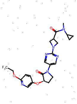 CN(C(=O)C1CN(c2ncc(N3CC[C@@H](Oc4ccc(OCC(F)(F)F)nc4)C3=O)cn2)C1)C1CC1